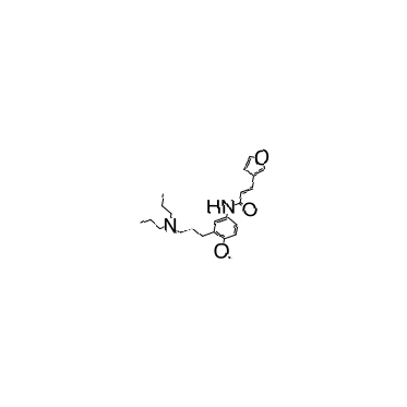 CCCN(CCC)CCCc1cc(NC(=O)C=Cc2ccoc2)ccc1OC